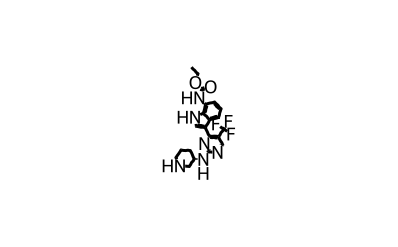 CCOC(=O)Nc1cccc2c(-c3nc(N[C@H]4CCCNC4)ncc3C(F)(F)F)c[nH]c12